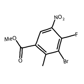 COC(=O)c1cc([N+](=O)[O-])c(F)c(Br)c1C